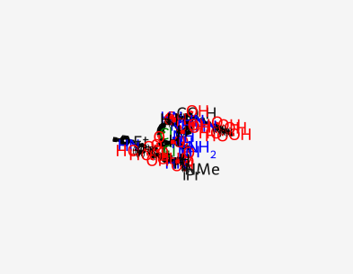 C#Cc1ccc(CNC2(CC)C[C@H](O[C@H]3C(Oc4c5cc6cc4Oc4ccc(cc4Cl)[C@@H](O)[C@@H](NC(=O)[C@@H](CC(C)C)NC)C(=O)NC(CC(N)=O)C(=O)N[C@H]6C(=O)N[C@H]4C(=O)N[C@H](C(=O)N[C@H](C(=O)O)c6cc(O)c(CNCCCNC(=O)[C@H](O)[C@@H](O)[C@H](O)[C@H](O)CO)c(O)c6-c6cc4ccc6O)[C@H](O)c4ccc(c(Cl)c4)O5)O[C@H](CO)C(O)C3O)C[C@@H](C)[C@H]2O)cc1